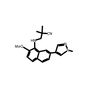 COc1ccc2ccc(-c3cnn(C)c3)cc2c1NCC(C)(C)C#N